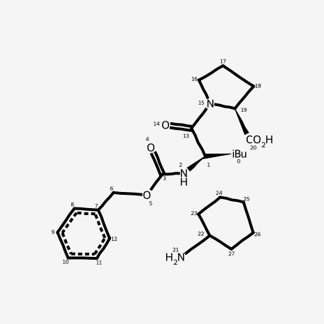 CC[C@H](C)[C@@H](NC(=O)OCc1ccccc1)C(=O)N1CCC[C@H]1C(=O)O.NC1CCCCC1